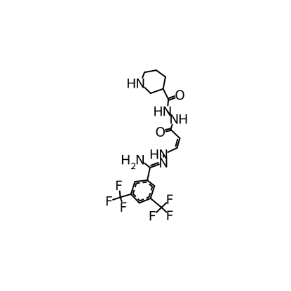 N/C(=N\N/C=C\C(=O)NNC(=O)C1CCCNC1)c1cc(C(F)(F)F)cc(C(F)(F)F)c1